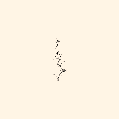 OCCN1CC2(CC(NC3CC3)C2)C1